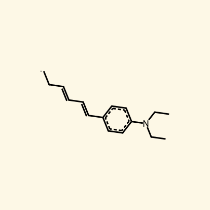 [CH2]CC=CC=Cc1ccc(N(CC)CC)cc1